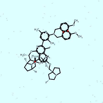 COc1ccc(CN(Cc2ccc(OC)cc2)c2nc(C)cc(-c3nc4c5c(nc(OC[C@@]67CCCN6C[C@H](F)C7)nc5c3F)N3C[C@H]5CC[C@@H]([C@H]3[C@H](C)O4)N5C(=O)OC(C)(C)C)c2C)cc1